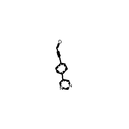 O=CC#Cc1ccc(-c2cncnc2)cc1